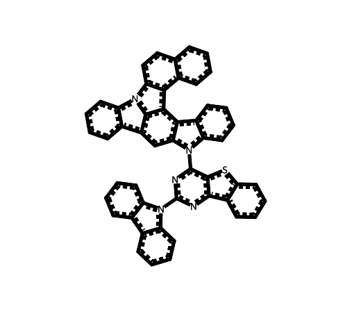 c1ccc2c(c1)ccc1c2c2c3c4ccccc4n(-c4nc(-n5c6ccccc6c6ccccc65)nc5c4sc4ccccc45)c3cc3c4ccccc4n1c32